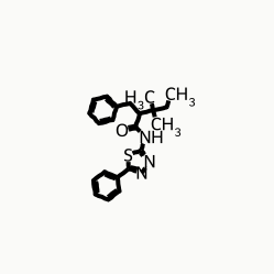 CCC(C)(C)C(Cc1ccccc1)C(=O)Nc1nnc(-c2ccccc2)s1